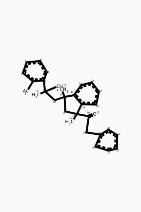 CC(=O)c1ccccc1C(C)(C)CC1(C)CC(C)(C(=O)Cc2ccccc2)c2ccccc21